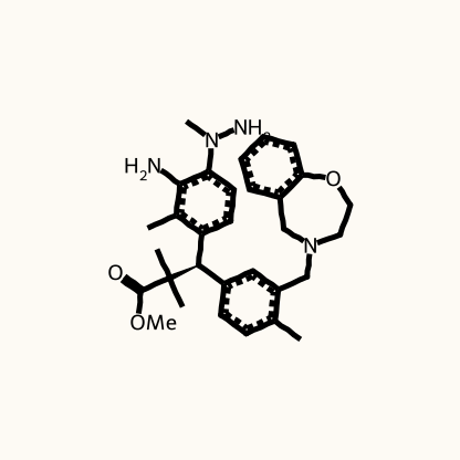 COC(=O)C(C)(C)[C@H](c1ccc(C)c(CN2CCOc3ccccc3C2)c1)c1ccc(N(C)N)c(N)c1C